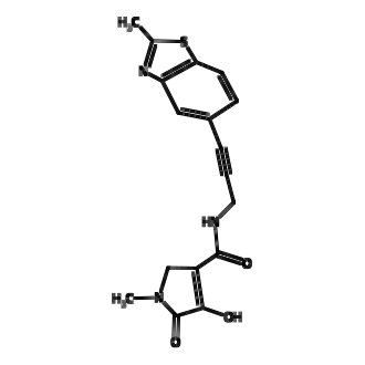 Cc1nc2cc(C#CCNC(=O)C3=C(O)C(=O)N(C)C3)ccc2s1